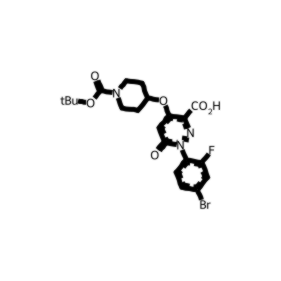 CC(C)(C)OC(=O)N1CCC(Oc2cc(=O)n(-c3ccc(Br)cc3F)nc2C(=O)O)CC1